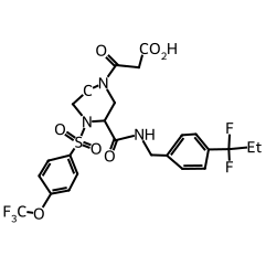 CCC(F)(F)c1ccc(CNC(=O)C2CN(C(=O)CC(=O)O)CCN2S(=O)(=O)c2ccc(OC(F)(F)F)cc2)cc1